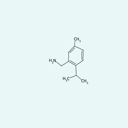 Cc1ccc(C(C)C)c(CN)c1